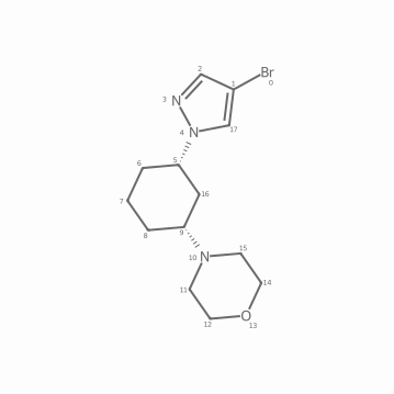 Brc1cnn([C@H]2CCC[C@@H](N3CCOCC3)C2)c1